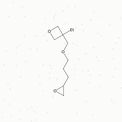 CCC1(COCCCC2CO2)COC1